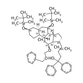 C[C@H](CCC(O)(c1ccccc1)c1ccccc1)[C@H]1CC[C@H]2[C@@H]3[C@H](O[Si](C)(C)C(C)(C)C)C[C@@H]4C[C@H](O[Si](C)(C)C(C)(C)C)CC[C@]4(C)[C@H]3C[C@H](OCOCc3ccccc3)[C@]12C